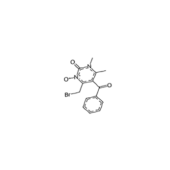 Cc1c(C(=O)c2ccccc2)c(CBr)[n+]([O-])c(=O)n1C